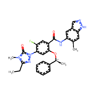 CCc1nn(-c2cc(O[C@@H](C)c3ccccc3)c(C(=O)Nc3cc4cn[nH]c4cc3C)cc2F)c(=O)n1C